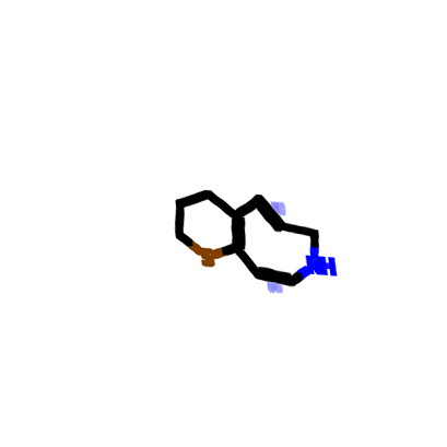 C1=C\C2=C(/C=C/CN/1)CCCS2